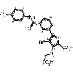 O=C(O)COc1c(C(=O)O)sc(-c2cccc(C(=O)Nc3ccc(C(F)(F)F)cc3)c2)c1Br